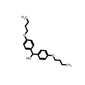 CCCCOc1ccc(C(O)c2ccc(OCCCC)cc2)cc1